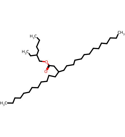 CCCCCCCCCCCCCCC(CCCCCCCCCCCC)CC(=O)OCC(CC)CCCC